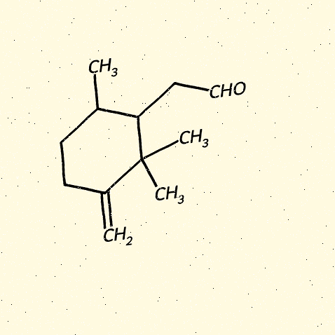 C=C1CCC(C)C(CC=O)C1(C)C